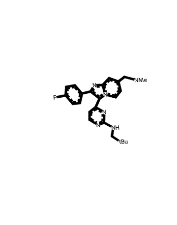 CNCc1ccn2c(-c3ccnc(NCC(C)(C)C)n3)c(-c3ccc(F)cc3)nc2c1